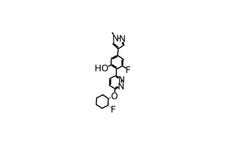 Cn1cc(-c2cc(O)c(-c3ccc(O[C@H]4CCCC[C@H]4F)nn3)c(F)c2)cn1